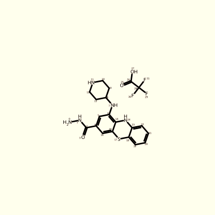 NNC(=O)c1cc(NC2CCNCC2)c2c(c1)Sc1ccccc1N2.O=C(O)C(F)(F)F